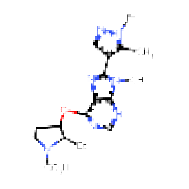 CCC1C(Oc2ncnc3c2nc(-c2cnn(CC)c2C)n3C)CCN1C(=O)O